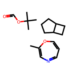 C1CC2CCC2C1.CC(C)(C)OC=O.CC1=CN=CC=CO1